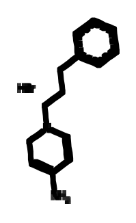 Br.NC1=CCN(CCCc2ccccc2)C=C1